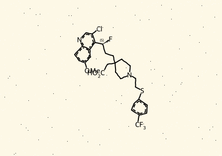 COc1ccc2ncc(Cl)c([C@@H](F)CCC3(CC(=O)O)CCN(CCSc4ccc(C(F)(F)F)cc4)CC3)c2c1